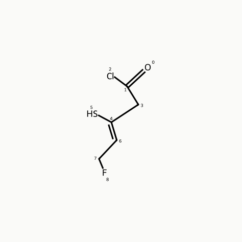 O=C(Cl)C/C(S)=C/CF